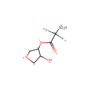 O=C(OC1COCC1O)C(F)(F)S(=O)(=O)O